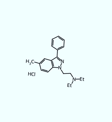 CCN(CC)CCn1nc(-c2ccccc2)c2cc(C)ccc21.Cl